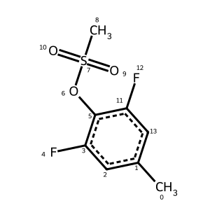 Cc1cc(F)c(OS(C)(=O)=O)c(F)c1